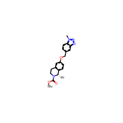 CC(C)[C@H]1c2ccc(OCc3ccc4c(c3)nnn4C)cc2CCN1C(=O)OC(C)(C)C